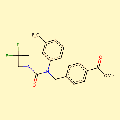 COC(=O)c1ccc(CN(C(=O)N2CC(F)(F)C2)c2cccc(C(F)(F)F)c2)cc1